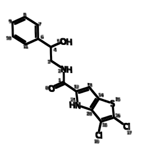 O=C(NCC(O)c1ccccc1)c1cc2sc(Cl)c(Cl)c2[nH]1